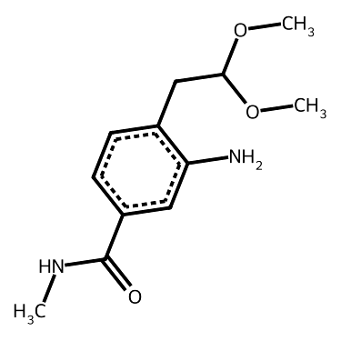 CNC(=O)c1ccc(CC(OC)OC)c(N)c1